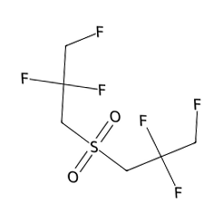 O=S(=O)(CC(F)(F)CF)CC(F)(F)CF